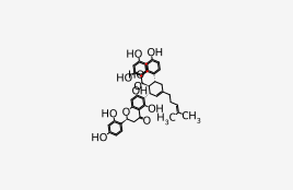 CC(C)=CCCC1=C[C@H](c2c(O)cc3c(c2O)C(=O)C[C@@H](c2ccc(O)cc2O)O3)[C@@H](C(=O)c2ccc(O)cc2O)[C@H](c2ccc(O)cc2O)C1